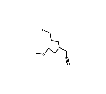 C#CCN(CCSF)CCSF